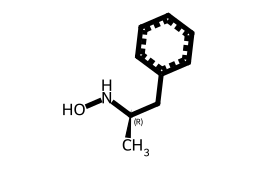 C[C@H](Cc1ccccc1)NO